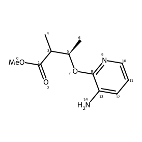 COC(=O)C(C)[C@@H](C)Oc1ncccc1N